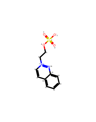 O=S(=O)([O-])OCC[n+]1ccc2ccccc2n1